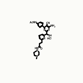 CC(=O)Nc1ccc(-c2nc(C(S)c3cccc(CCC(=O)NN4CCN(C)CC4)n3)nc(N)c2C#N)cc1.Cl